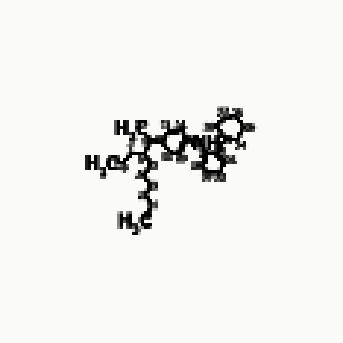 CCCCCCC(CCC)C(C)C1C=CC(Nc2ccccc2C2CCCCC2)=CC1